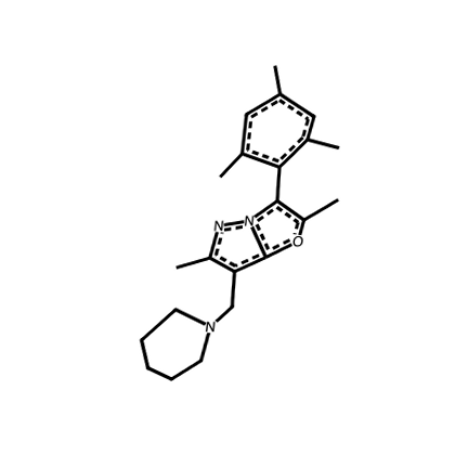 Cc1cc(C)c(-c2c(C)oc3c(CN4CCCCC4)c(C)nn23)c(C)c1